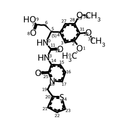 COc1cc([C@H](CC(=O)O)NC(=O)Nc2cccn(Cc3cccs3)c2=O)cc(OC)c1OC